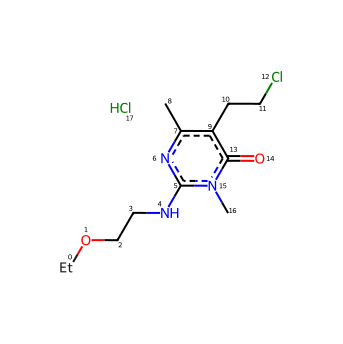 CCOCCNc1nc(C)c(CCCl)c(=O)n1C.Cl